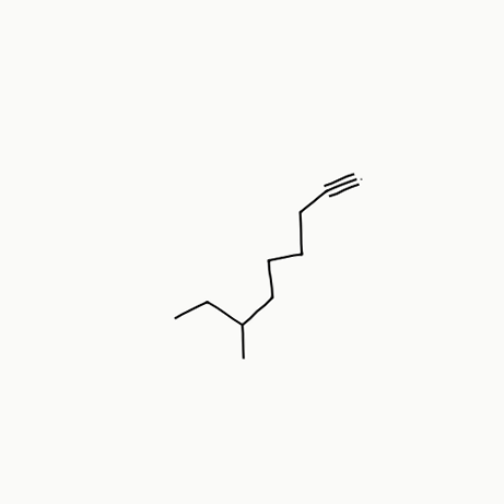 [C]#CCCCCC(C)CC